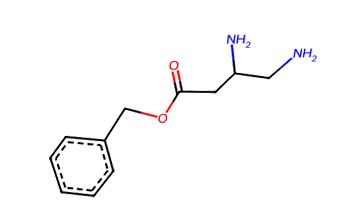 NCC(N)CC(=O)OCc1ccccc1